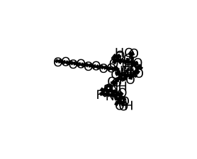 CC[C@@]1(O)C(=O)OCc2c1cc1n(c2=O)Cc2c-1nc1cc(F)c(C)c3c1c2[C@@H](NC(=O)OCc1ccc(NC(=O)[C@H](C)NC(=O)[C@@H](NC(=O)[C@H](CCC(=O)O)NC(=O)CCCN2C(=O)C=CC2=O)C(C)C)cc1C(=O)NCCOCCOCCOCCOCCOCCOCCOCCOC)CC3